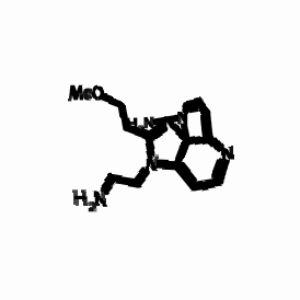 COCCC1=NC23C(=CC=CN2N)N=CC=C3N1CCN